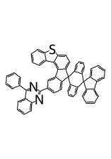 c1ccc(-c2nc(-c3ccc4c(c3)-c3c(ccc5sc6ccccc6c35)C43c4ccccc4C4(c5ccccc5-c5ccccc54)c4ccccc43)nc3ccccc23)cc1